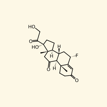 C[C@]12CCC(=O)C=C1[C@@H](F)C[C@@H]1[C@@H]2C(=O)C[C@@]2(C)[C@H]1CC[C@]2(O)C(=O)CO